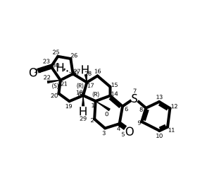 C[C@]12CCC(=O)C(Sc3ccccc3)=C1CC[C@@H]1[C@H]2CC[C@]2(C)C(=O)CC[C@@H]12